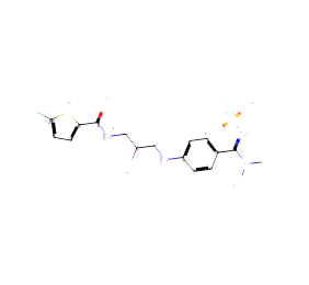 CN(C)/C(=N/S(C)(=O)=O)c1ccc(NCC(O)CNC(=O)c2ccc(Cl)s2)cc1